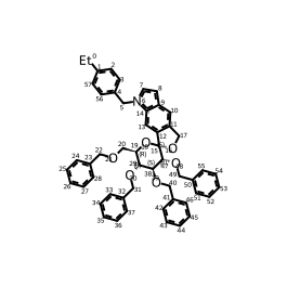 CCc1ccc(Cn2ccc3cc4c(cc32)[C@]2(OC4)O[C@H](COCc3ccccc3)[C@@H](OCc3ccccc3)[C@H](OCc3ccccc3)[C@H]2OCc2ccccc2)cc1